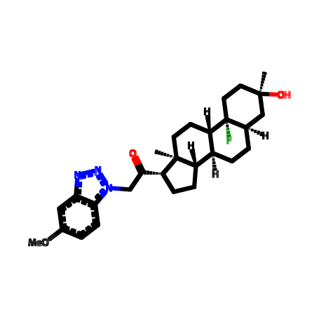 COc1ccc2c(c1)nnn2CC(=O)[C@H]1CC[C@H]2[C@@H]3CC[C@@H]4C[C@](C)(O)CC[C@]4(F)[C@H]3CC[C@]12C